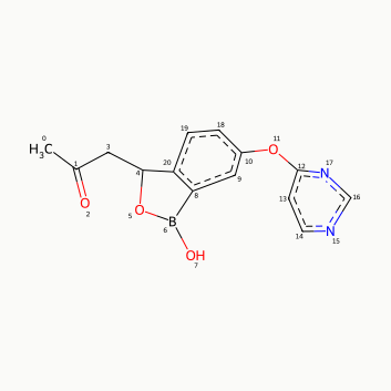 CC(=O)CC1OB(O)c2cc(Oc3ccncn3)ccc21